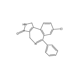 O=C1NCC2=C1CN=C(c1ccccc1)c1cc(Cl)ccc12